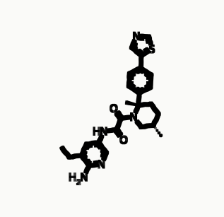 CCc1cc(NC(=O)C(=O)N2C[C@@H](C)CC[C@@]2(C)c2ccc(-c3cncs3)cc2)cnc1N